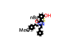 CCCCc1ccc(O)c2sc3nc(CCc4ccccc4)n(CCc4ccc(OC)cc4)c(=O)c3c12